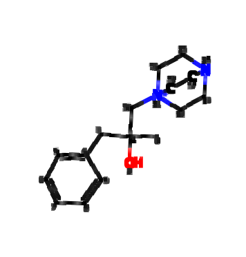 CC(O)(Cc1ccccc1)C[N+]12CCN(CC1)CC2